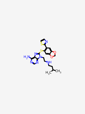 CC(C)CCNCCn1c(Sc2cc3c(cc2-c2nccs2)OCO3)nc2c(N)ncnc21